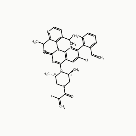 C=Cc1cccc(F)c1-c1nc2c(cc1Cl)c(N1[C@@H](C)CN(C(=O)C(=C)F)C[C@@H]1C)nc(=O)n2-c1c(C(C)C)ccnc1C(C)C